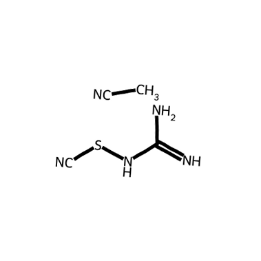 CC#N.N#CSNC(=N)N